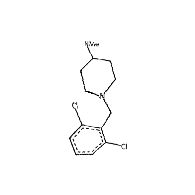 CNC1CCN(Cc2c(Cl)cccc2Cl)CC1